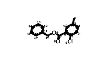 Cc1ccc(Cl)c(C(=O)OCc2ccccc2)c1